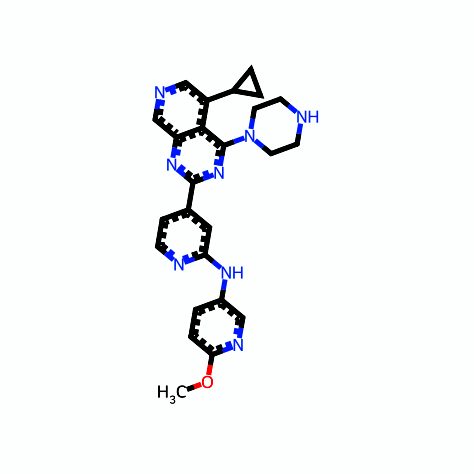 COc1ccc(Nc2cc(-c3nc(N4CCNCC4)c4c(C5CC5)cncc4n3)ccn2)cn1